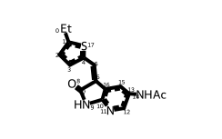 CCc1ccc(C=C2C(=O)Nc3ncc(NC(C)=O)cc32)s1